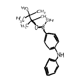 CC(C)(O)C(C)(C)OB(O)c1ccc(Nc2ccccc2)cc1